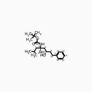 CC(C)C[C@@](N)(C[C@@H](O)CCc1ccccc1)NC(=O)OC(C)(C)C